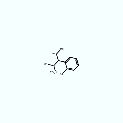 CC(C)N(C(=O)O)C(c1ccccc1Cl)[C@H](C)O